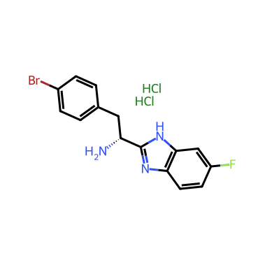 Cl.Cl.N[C@H](Cc1ccc(Br)cc1)c1nc2ccc(F)cc2[nH]1